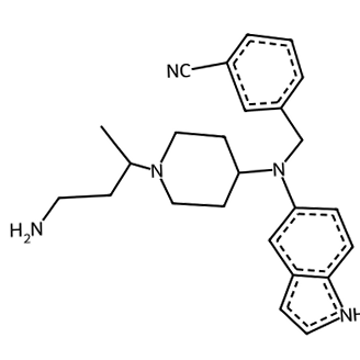 CC(CCN)N1CCC(N(Cc2cccc(C#N)c2)c2ccc3[nH]ccc3c2)CC1